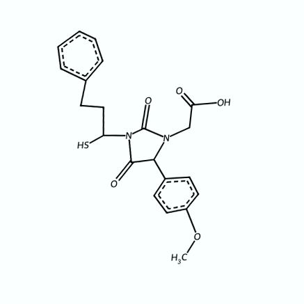 COc1ccc(C2C(=O)N(C(S)CCc3ccccc3)C(=O)N2CC(=O)O)cc1